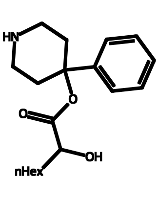 CCCCCCC(O)C(=O)OC1(c2ccccc2)CCNCC1